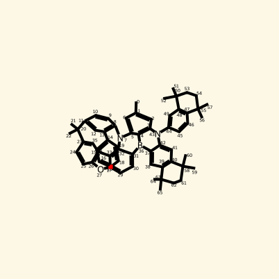 Cc1cc2c3c(c1)N1c4ccc(cc4-c4ccccc4)C(C)(C)c4ccc5oc6ccc(c1c6c5c4)B3c1cc3c(cc1N2c1ccc2c(c1)C(C)(C)CCC2(C)C)C(C)(C)CCC3(C)C